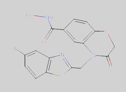 O=C(NO)c1ccc2c(c1)N(Cc1nc3cc(Cl)ccc3s1)C(=O)CO2